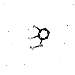 CC(C)c1cccc(NN)c1N